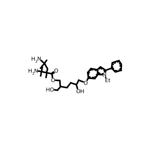 CCn1c(-c2ccccc2)cc2ccc(OCC(O)CCC(CO)COC(=O)C(C)(CC(C)(C)N)C(C)(C)N)cc21